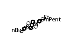 CCCCCC(CC)COc1ccc(Sc2cccc3c2C(=O)c2cccc(Sc4ccc(OCCCC)cc4)c2C3=O)cc1